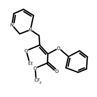 CCOC(CN1C=CC=NC1)=C(Oc1ccccc1)C(=O)OC(F)(F)F